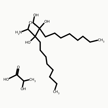 CC(O)C(=O)O.CCCCCCCCC(O)(CO)C(O)(CCCCCCCC)C(C)N